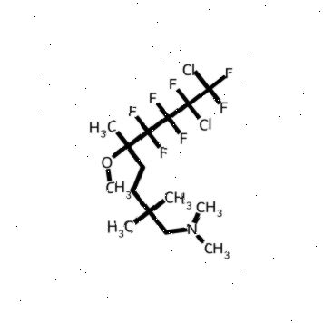 COC(C)(CCC(C)(C)CN(C)C)C(F)(F)C(F)(F)C(F)(Cl)C(F)(F)Cl